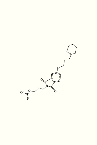 O=C1c2ccc(OCCCN3CCCCC3)cc2C(=O)N1CCCO[N+](=O)[O-]